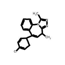 Cc1nnc2n1-c1ccccc1C(C1C=CC(Cl)=CC1)=CC2C